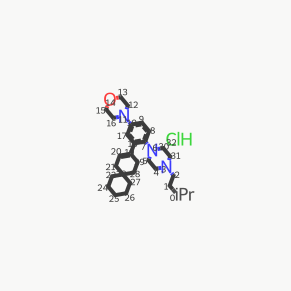 CC(C)CCN1CCN(c2ccc(N3CCOCC3)cc2C2=CCC3(CCCCC3)CC2)CC1.Cl